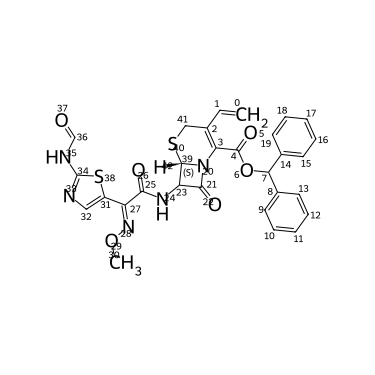 C=CC1=C(C(=O)OC(c2ccccc2)c2ccccc2)N2C(=O)C(NC(=O)C(=NOC)c3cnc(NC=O)s3)[C@@H]2SC1